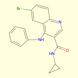 O=C(NC1CC1)c1cnc2ccc(Br)cc2c1Nc1ccccc1